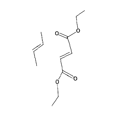 C/C=C/C.CCOC(=O)/C=C/C(=O)OCC